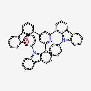 c1ccc(-n2c3ccccc3c3cccc(-c4cc(-c5cccc6c5oc5ccccc56)cc(-c5cccc6c7ccccc7n(-c7ccccc7)c56)n4)c32)cc1